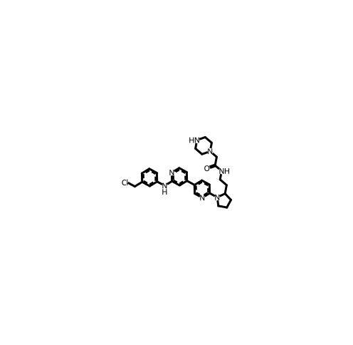 O=C(CN1CCNCC1)NCCC1CCCN1c1ccc(-c2ccnc(Nc3cccc(CCl)c3)c2)cn1